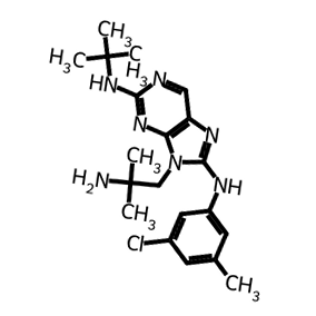 Cc1cc(Cl)cc(Nc2nc3cnc(NC(C)(C)C)nc3n2CC(C)(C)N)c1